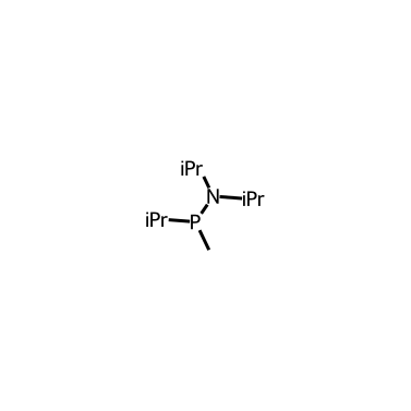 CC(C)N(C(C)C)P(C)C(C)C